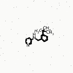 CC(C)(C)c1cccc(CNc2cccnc2)c1